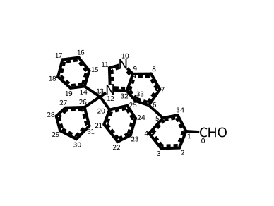 O=Cc1cccc(-c2ccc3ncn(C(c4ccccc4)(c4ccccc4)c4ccccc4)c3c2)c1